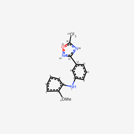 COc1ccccc1Nc1[c]ccc(-c2noc(C(F)(F)F)n2)c1